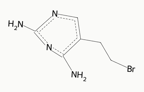 Nc1ncc(CCBr)c(N)n1